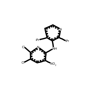 CC(C)c1ccnc(C(C)C)c1Nc1nc(Cl)c(Cl)cc1[N+](=O)[O-]